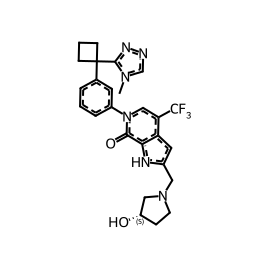 Cn1cnnc1C1(c2cccc(-n3cc(C(F)(F)F)c4cc(CN5CC[C@H](O)C5)[nH]c4c3=O)c2)CCC1